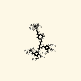 COc1cc(C(=O)OC(CCCOc2cc(C(=O)OC(C)(C)C)cc(OC)c2OC)CCN2CCC(CCCO[Si](C)(C)C(C)(C)C)CC(F)(F)C2)cc(OC)c1OC